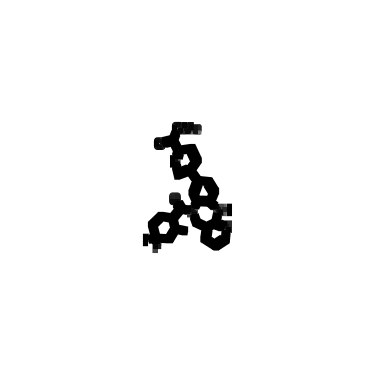 COC(=O)c1ccc(-c2ccc3c(c2)N(C(=O)C2CCC(F)(F)CC2C)Cc2cccnc2N3)cn1